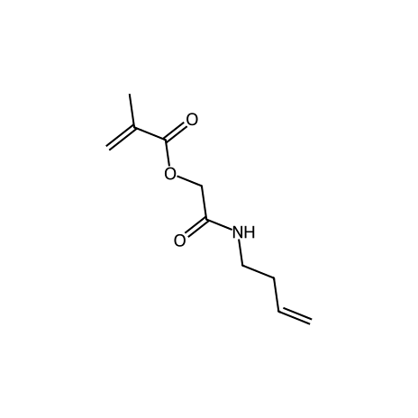 C=CCCNC(=O)COC(=O)C(=C)C